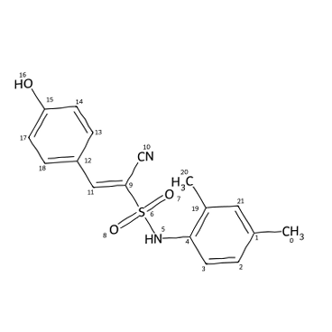 Cc1ccc(NS(=O)(=O)C(C#N)=Cc2ccc(O)cc2)c(C)c1